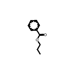 C[CH]COC(=O)c1ccccc1